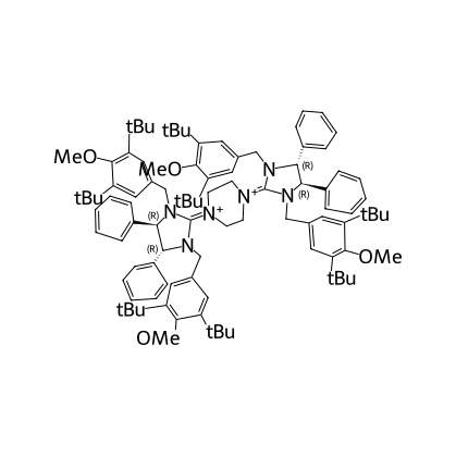 COc1c(C(C)(C)C)cc(CN2C(=[N+]3CC[N+](=C4N(Cc5cc(C(C)(C)C)c(OC)c(C(C)(C)C)c5)[C@H](c5ccccc5)[C@@H](c5ccccc5)N4Cc4cc(C(C)(C)C)c(OC)c(C(C)(C)C)c4)CC3)N(Cc3cc(C(C)(C)C)c(OC)c(C(C)(C)C)c3)[C@H](c3ccccc3)[C@H]2c2ccccc2)cc1C(C)(C)C